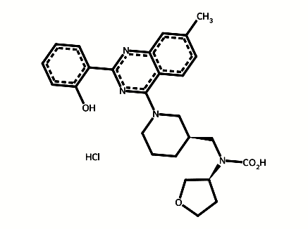 Cc1ccc2c(N3CCC[C@H](CN(C(=O)O)[C@H]4CCOC4)C3)nc(-c3ccccc3O)nc2c1.Cl